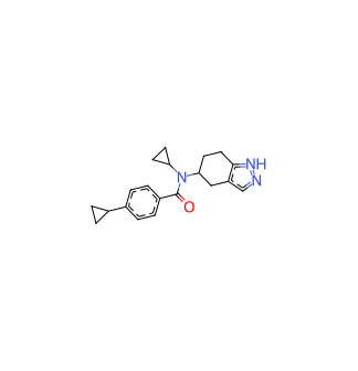 O=C(c1ccc(C2CC2)cc1)N(C1CC1)C1CCc2[nH]ncc2C1